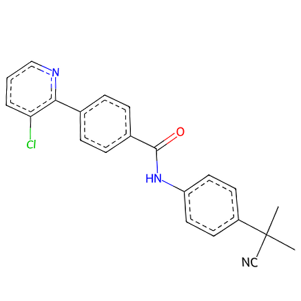 CC(C)(C#N)c1ccc(NC(=O)c2ccc(-c3ncccc3Cl)cc2)cc1